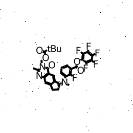 Cc1nc2cc3c(cc2c(=O)n1COC(=O)C(C)(C)C)[C@H](N(C)c1cccc(C(=O)Oc2c(F)c(F)c(F)c(F)c2F)c1F)CC3